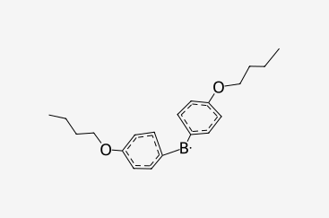 CCCCOc1ccc([B]c2ccc(OCCCC)cc2)cc1